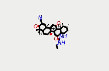 CCNC(=O)N[C@]12CC[C@@H](C)[C@H](C)[C@H]1[C@H]1C(=O)C=C3[C@@]4(C)C=C(C#N)C(=O)C(C)(C)[C@@H]4CC[C@@]3(C)[C@]1(C)CC2